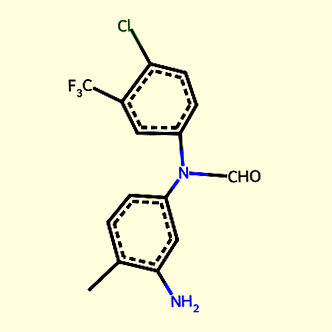 Cc1ccc(N(C=O)c2ccc(Cl)c(C(F)(F)F)c2)cc1N